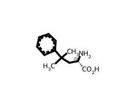 CC(C)(C[C@H](N)C(=O)O)c1ccccc1